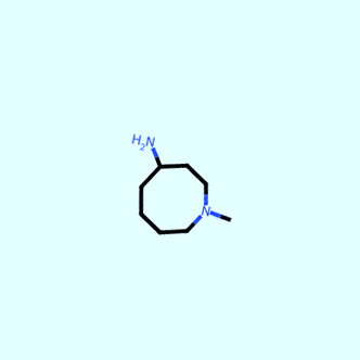 CN1CCCCC(N)CC1